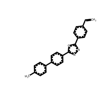 C=Cc1ccc(-c2nnc(-c3ccc(-c4ccc(C)cc4)cc3)o2)cc1